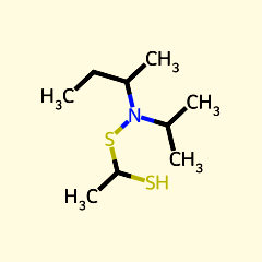 CCC(C)N(SC(C)S)C(C)C